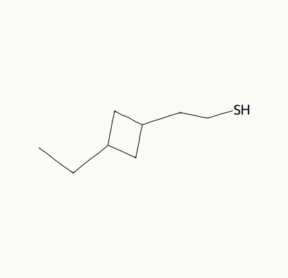 CCC1CC(CCS)C1